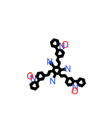 COn1c2ccccc2c2cc(/C=C/c3c(C#N)c(/C=C/c4ccc5c(c4)c4ccccc4n5OC)c(C#N)c(/C=C/c4ccc5c(c4)c4ccccc4n5OC)c3C#N)ccc21